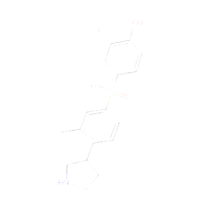 Cc1cc(S(=O)(=O)c2ccc(O)c(Cl)c2)ccc1C1CCNC1